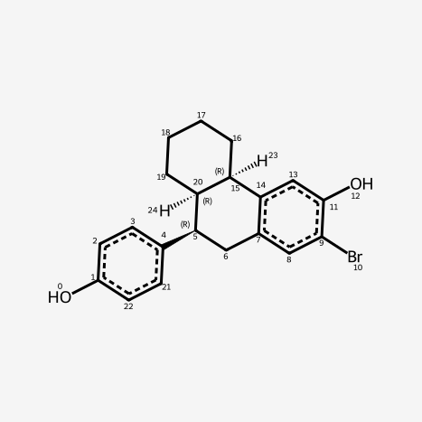 Oc1ccc([C@@H]2Cc3cc(Br)c(O)cc3[C@@H]3CCCC[C@H]23)cc1